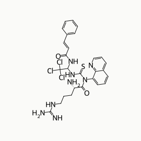 N=C(N)NCCC[C@H](N)C(=O)N(C(=S)NC(NC(=O)/C=C/c1ccccc1)C(Cl)(Cl)Cl)c1cccc2cccnc12